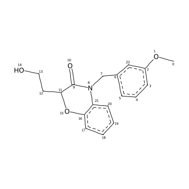 COc1cccc(CN2C(=O)C(CCO)Oc3ccccc32)c1